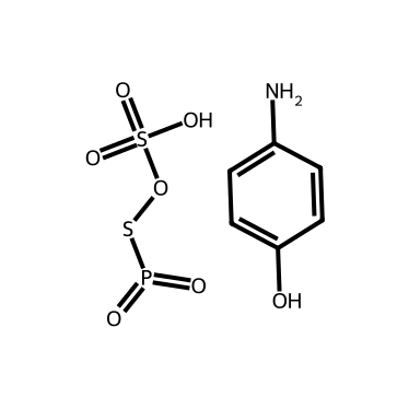 Nc1ccc(O)cc1.O=P(=O)SOS(=O)(=O)O